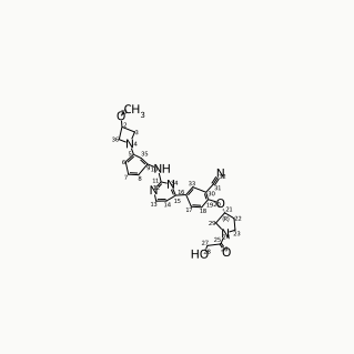 COC1CN(c2cccc(Nc3nccc(-c4ccc(O[C@@H]5CCN(C(=O)CO)C5)c(C#N)c4)n3)c2)C1